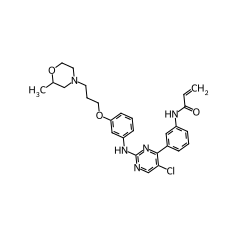 C=CC(=O)Nc1cccc(-c2nc(Nc3cccc(OCCCN4CCOC(C)C4)c3)ncc2Cl)c1